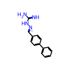 N=C(N)N/N=C/c1ccc(-c2ccccc2)cc1